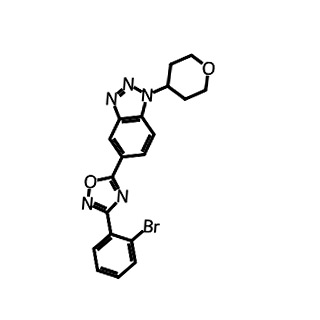 Brc1ccccc1-c1noc(-c2ccc3c(c2)nnn3C2CCOCC2)n1